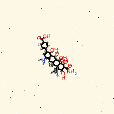 CN(C)c1cc(-c2ccc(C(=O)O)cc2)c(O)c2c1C[C@H]1C[C@H]3[C@@H](N(C)C)C(O)=C(C(N)=O)C(=O)[C@@]3(O)C(O)=C1C2=O